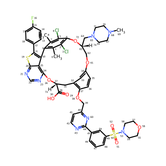 Cc1c(Cl)c2c(Cl)c(C)c1-c1c(-c3ccc(F)cc3)sc3ncnc(c13)O[C@@H](C(=O)O)Cc1cc(ccc1OCc1ccnc(-c3cccc(S(=O)(=O)N4CCOCC4)c3)n1)OC[C@@H](CN1CCN(C)CC1)O2